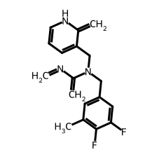 C=NC(=C)N(CC1=CC=CNC1=C)Cc1cc(C)c(F)c(F)c1